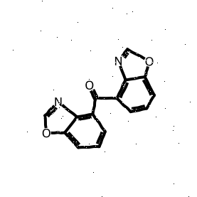 O=C(c1cccc2ocnc12)c1cccc2ocnc12